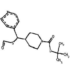 CC(C)(C)OC(=O)N1CCC(C(SC=O)c2ccncc2)CC1